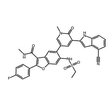 CCS(=O)(=O)Nc1cc2oc(-c3ccc(F)cc3)c(C(=O)NC)c2cc1-c1cc(-c2cc3c(C#N)cccc3[nH]2)c(=O)n(C)c1